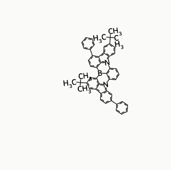 CC(C)(C)c1ccc2c(c1)c1c(-c3ccccc3)ccc3c1n2-c1cccc2c1B3c1cc(C(C)(C)C)cc3c4ccc(-c5ccccc5)cc4n-2c13